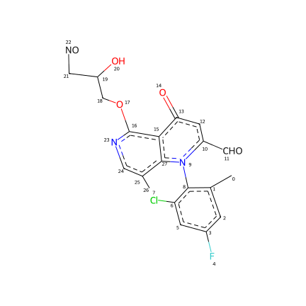 Cc1cc(F)cc(Cl)c1-n1c(C=O)cc(=O)c2c(OCC(O)CN=O)ncc(C)c21